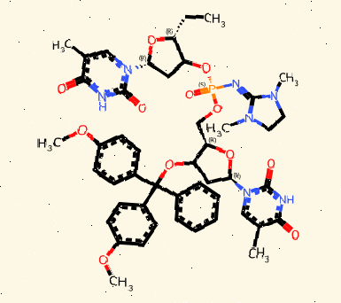 CC[C@H]1O[C@@H](n2cc(C)c(=O)[nH]c2=O)CC1O[P@](=O)(N=C1N(C)CCN1C)OC[C@H]1O[C@@H](n2cc(C)c(=O)[nH]c2=O)CC1OC(c1ccccc1)(c1ccc(OC)cc1)c1ccc(OC)cc1